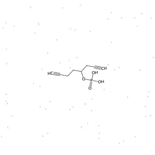 C#CCCC(CC#C)OP(=O)(O)O